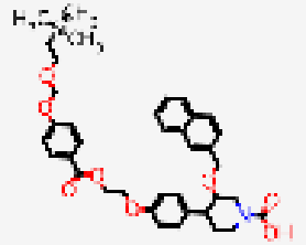 C[Si](C)(C)CCOCOc1ccc(C(=O)OCCOc2ccc(C3CCN(C(=O)O)CC3OCc3ccc4ccccc4c3)cc2)cc1